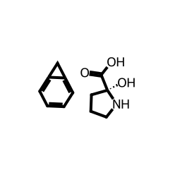 O=C(O)[C@]1(O)CCCN1.c1ccc2c(c1)C2